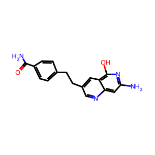 NC(=O)c1ccc(CCc2cnc3cc(N)nc(O)c3c2)cc1